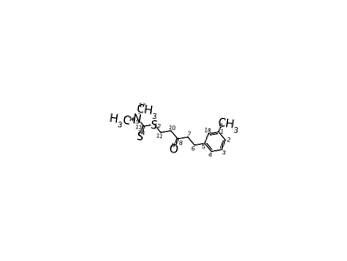 Cc1cccc(CCC(=O)CCSC(=S)N(C)C)c1